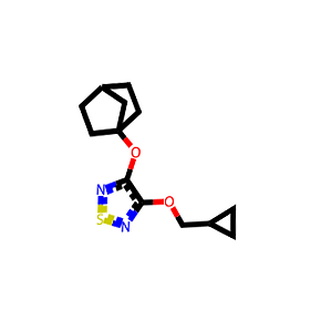 C1CC1COc1nsnc1OC12CCC(CC1)C2